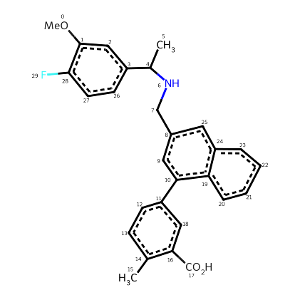 COc1cc(C(C)NCc2cc(-c3ccc(C)c(C(=O)O)c3)c3ccccc3c2)ccc1F